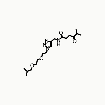 CC(C)COCCOCCn1cc(CNC(=O)CCC(=O)C(C)C)nn1